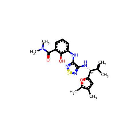 C=C(C)[C@@H](Nc1nsnc1Nc1cccc(C(=O)N(C)C)c1O)c1cc(C)c(C)o1